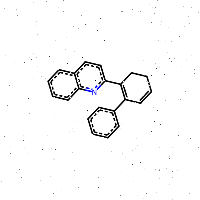 C1=CC(c2ccccc2)=C(c2ccc3ccccc3n2)CC1